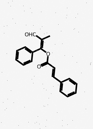 CC(C=O)=C(OC(=O)/C=C/c1ccccc1)c1ccccc1